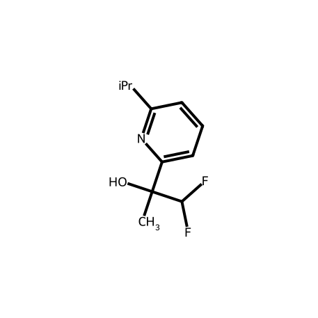 CC(C)c1cccc(C(C)(O)C(F)F)n1